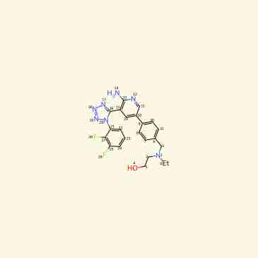 CCN(CCO)Cc1ccc(-c2cnc(N)c(-c3nnnn3-c3cccc(F)c3F)c2)cc1